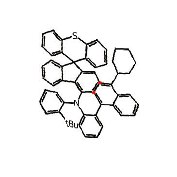 CC(C)(C)c1ccccc1N(c1ccccc1-c1ccc(C2CCCCC2)c2ccccc12)c1cccc2c1-c1ccccc1C21c2ccccc2Sc2ccccc21